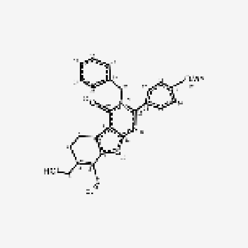 CCSC1=C(CO)CCc2c1sc1nc(-c3ccc(OC)cc3)n(Cc3ccccc3)c(=O)c21